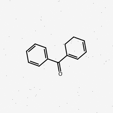 O=C(C1=CC=CC[CH]1)c1ccccc1